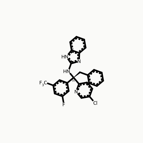 Fc1cc(C(F)(F)F)cc([C@](Cc2ccccc2)(Nc2nc3ccccc3[nH]2)c2ccc(Cl)cn2)c1